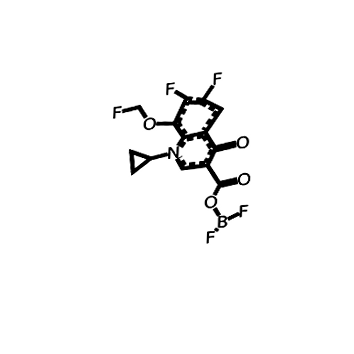 O=C(OB(F)F)c1cn(C2CC2)c2c(OCF)c(F)c(F)cc2c1=O